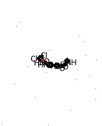 O=C(Nc1ccc(-c2ccc(C(=O)OC(=O)[C@H]3CCCN3)cc2)cc1)Nc1cc(Cl)cc(Cl)c1